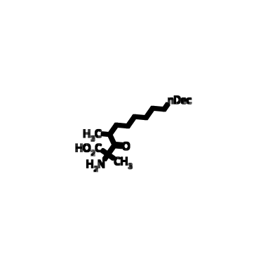 CCCCCCCCCCCCCCCCC(C)C(=O)C(C)(N)C(=O)O